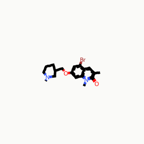 Cc1cc2c(Br)cc(OCC3CCCN(C)C3)cc2n(C)c1=O